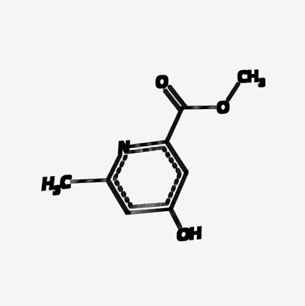 COC(=O)c1cc(O)cc(C)n1